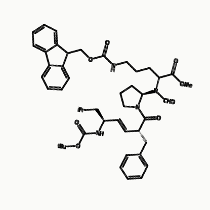 COC(=O)C(CCCNC(=O)OCC1c2ccccc2-c2ccccc21)N(C=O)[C@@H]1CCCN1C(=O)[C@@H](/C=C/[C@H](CC(C)C)NC(=O)OC(C)(C)C)Cc1ccccc1